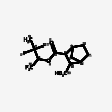 CC(F)(F)C(OC(=O)C1C2CCC(C2)C1C(=O)O)C(F)(F)F